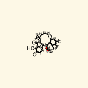 O=C1c2c(O)c(=O)ccn2N2CN1C1(CCCOc3cc(F)c(F)c4c3[C@H]2c2ccccc2SC4)CC1